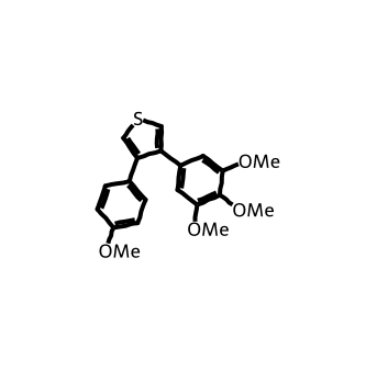 COc1ccc(-c2cscc2-c2cc(OC)c(OC)c(OC)c2)cc1